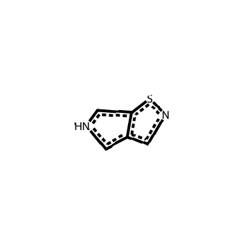 c1nsc2c[nH]cc12